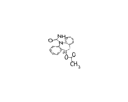 CC(=O)O[C@@H]1Cc2ccccc2N(C(N)=O)c2ccccc21